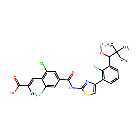 COC(c1cccc(-c2csc(NC(=O)c3cc(Cl)c(C=C(C)C(=O)O)c(Cl)c3)n2)c1F)C(C)(C)C